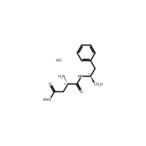 COC(=O)C[C@H](N)C(=O)N[C@@H](Cc1ccccc1)C(=O)O.Cl